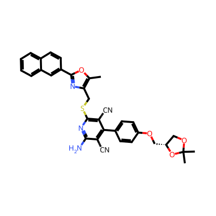 Cc1oc(-c2ccc3ccccc3c2)nc1CSc1nc(N)c(C#N)c(-c2ccc(OC[C@@H]3COC(C)(C)O3)cc2)c1C#N